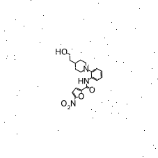 O=C(Nc1ccccc1N1CCC(CCO)CC1)c1ccc([N+](=O)[O-])o1